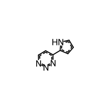 c1c[nH]c(-c2ccnnn2)c1